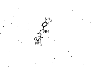 CC(CC(=N)c1ccc(N)nc1)CC(C)(C)OC(N)=O